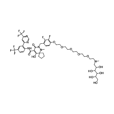 CN(CCOCCOCCOCCOCCOc1ccc(CN2C(=O)C(C(=O)Nc3ccc(C(F)(F)F)cc3-c3cc(C(F)(F)F)ncn3)=C(O)C3(CCCC3)N2C)c(F)c1F)CC(O)C(O)C(O)C(O)CO